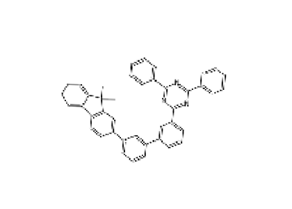 CC1(C)C2=CCCC=C2c2ccc(-c3cccc(-c4cccc(-c5nc(-c6ccccc6)nc(-c6ccccc6)n5)c4)c3)cc21